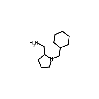 NCC1CCCN1CC1CCCCC1